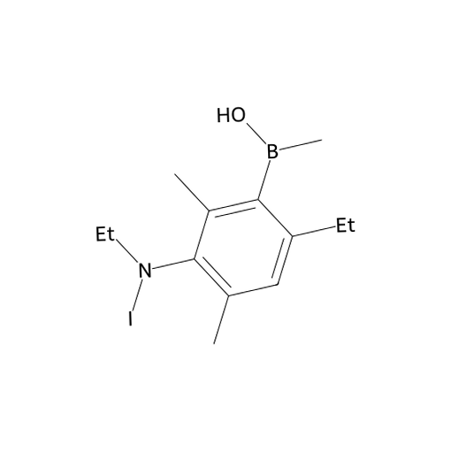 CCc1cc(C)c(N(I)CC)c(C)c1B(C)O